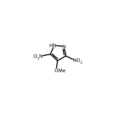 COc1c([N+](=O)[O-])n[nH]c1[N+](=O)[O-]